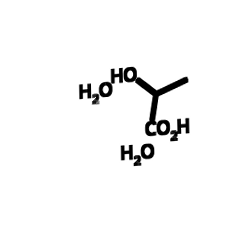 CC(O)C(=O)O.O.O